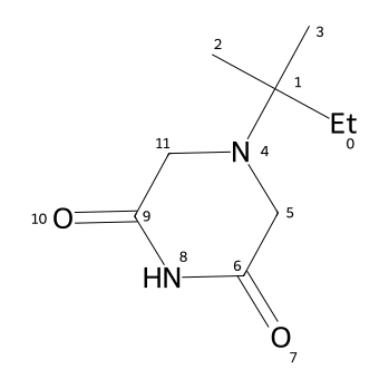 CCC(C)(C)N1CC(=O)NC(=O)C1